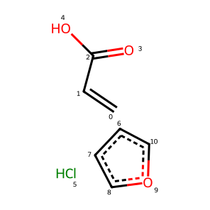 C=CC(=O)O.Cl.c1ccoc1